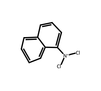 Cl[N+](Cl)c1cccc2ccccc12